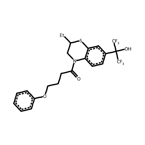 CCC1CN(C(=O)CCCOc2ccccc2)c2ccc(C(O)(C(F)(F)F)C(F)(F)F)cc2S1